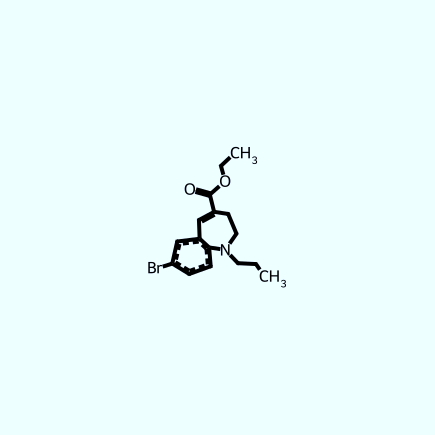 CCCN1CCC(C(=O)OCC)=Cc2cc(Br)ccc21